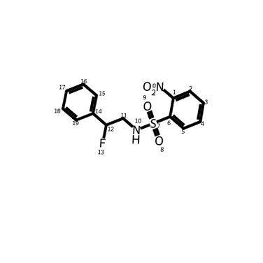 O=[N+]([O-])c1ccccc1S(=O)(=O)NCC(F)c1ccccc1